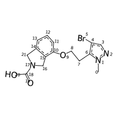 Cn1ncc(Br)c1CCOc1cccc2c1CN(C(=O)O)C2